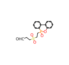 O=CCCS(=O)(=O)CCP1(=O)Oc2ccccc2-c2ccccc21